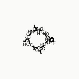 CCC(C)C1NC(=O)CN(C)C(=O)[C@@H](Cc2ccc(F)cc2)N(C)C(=O)[C@H](C)NC(=O)[C@@H](CC(C)C)OC(=O)/C(C)=C/C[C@H](O)[C@H](C)[C@@H]([C@@H](C)CC)OC(=O)[C@@H](C)NC1=O